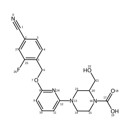 N#Cc1ccc(COc2cccc(N3CCN(C(=O)O)C(CO)C3)n2)c(F)c1